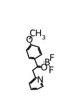 COc1ccc(C(=O)Cc2ccccn2)cc1.F[B]F